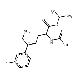 CC(=O)NC(CC[C@H](CN)c1cccc(F)c1)C(=O)OC(C)C